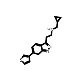 C1=C2C(CCNCC3CC3)=NN=C2CC(c2ccsc2)=C1